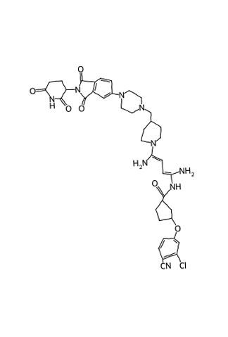 N#Cc1ccc(OC2CCC(C(=O)N/C(N)=C/C=C(\N)N3CCC(CN4CCN(c5ccc6c(c5)C(=O)N(C5CCC(=O)NC5=O)C6=O)CC4)CC3)C2)cc1Cl